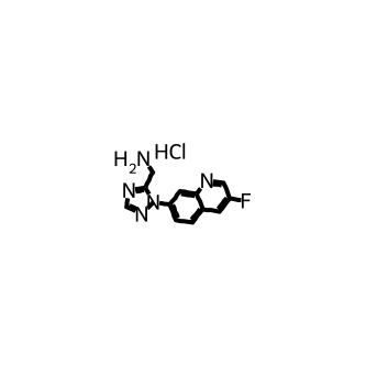 Cl.NCc1ncnn1-c1ccc2cc(F)cnc2c1